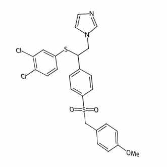 COc1ccc(CS(=O)(=O)c2ccc(C(Cn3ccnc3)Sc3ccc(Cl)c(Cl)c3)cc2)cc1